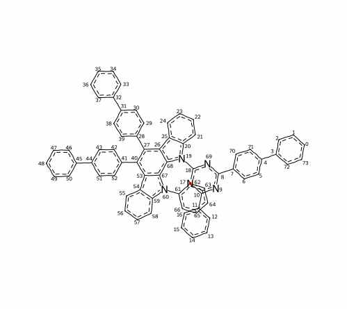 c1ccc(-c2ccc(-c3nc(-c4ccccc4)nc(-n4c5ccccc5c5c(-c6ccc(-c7ccccc7)cc6)c(-c6ccc(-c7ccccc7)cc6)c6c7ccccc7n(-c7ccccc7)c6c54)n3)cc2)cc1